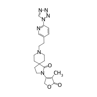 CC1=C(N2CCC3(CCN(CCc4ccc(-n5cnnn5)nc4)CC3)C2=O)COC1=O